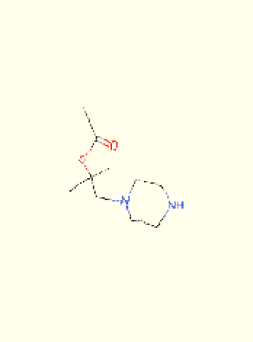 CC(=O)OC(C)(C)CN1CCNCC1